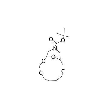 CC(C)(C)OC(=O)N1CC2CCCCCCCCCC(C1)O2